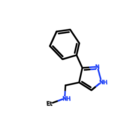 CCNCc1c[nH]nc1-c1ccccc1